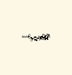 CNC(=O)OCC(=O)N1CCN(c2nc3c(C(C)C)c(-c4cn5ncnc5c(C)c4C)[nH]c3s2)C(C)C1